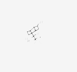 BC(B)(C(C)(C)C)C12C3CC1C1C(C)C3C12